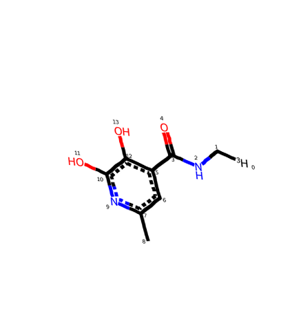 [3H]CNC(=O)c1cc(C)nc(O)c1O